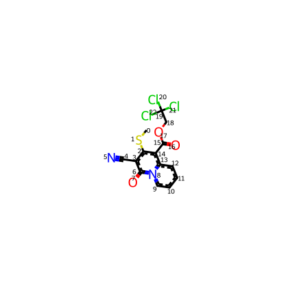 CSc1c(C#N)c(=O)n2ccccc2c1C(=O)OCC(Cl)(Cl)Cl